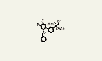 COC(CBr)(OC)c1cccc(-c2cc(F)c(F)cc2OCc2ccccc2)c1